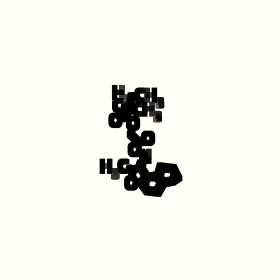 CCC(C)(C)C(=O)OCC(=O)O/N=C1/c2c(ccc3ccccc23)OC1C